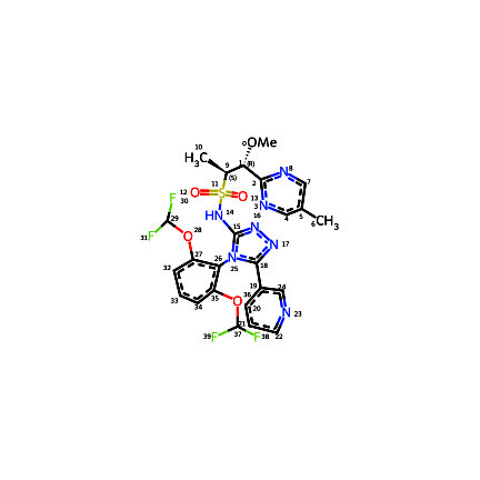 CO[C@H](c1ncc(C)cn1)[C@H](C)S(=O)(=O)Nc1nnc(-c2cccnc2)n1-c1c(OC(F)F)cccc1OC(F)F